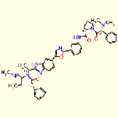 CCC(CNC)N(C(=O)Cc1ccccc1)[C@@H](C)c1nc2ccc(-c3cnc(-c4cccc(NC(=O)[C@@H]5CCCN5C(=O)[C@@H](c5ccccc5)N(C)C)c4)o3)cc2[nH]1